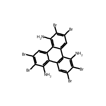 Nc1c(Br)c(Br)cc2c1c1cc(Br)c(Br)c(N)c1c1cc(Br)c(Br)c(N)c21